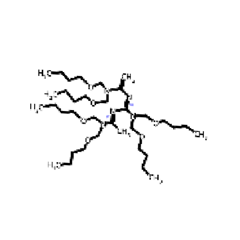 C=C(/N=C(\N=C(/C)N(COCCCC)COCCCC)N(COCCCC)COCCCC)N(COCCCC)COCCCC